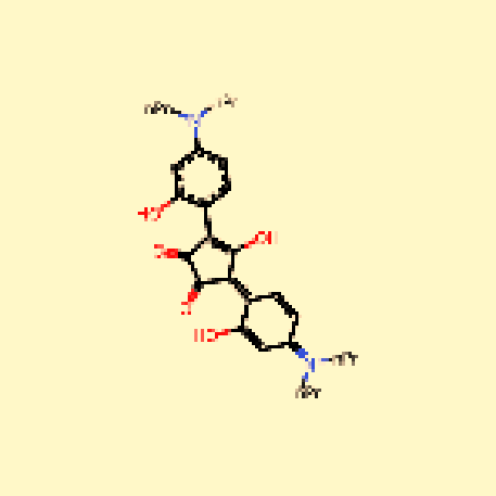 CCCN(CCC)c1ccc(C2=C(O)/C(=C3\C=CC(=[N+](CCC)CCC)C=C3O)C(=O)C2=O)c(O)c1